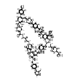 Cc1ncsc1-c1ccc([C@H](C)NC(=O)[C@@H]2C[C@@H](O)CN2C(=O)[C@@H](NCCCCCCCC(=O)N2CCN(CC3(C)CCC(c4ccc(Cl)cc4)=C(CN4CCN(c5ccc(C(=O)NS(=O)(=O)c6ccc(N[C@H](CCN7CCC(CO)CC7)CSc7ccccc7)c([N+](=O)[O-])c6)cc5)CC4)C3)CC2)C(C)(C)C)cc1